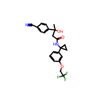 CC(O)(CC(=O)NC1(c2cccc(OCC(F)(F)F)c2)CC1)c1ccc(C#N)cc1